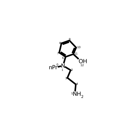 CCCN(CCCN)c1ccccc1O